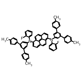 Cc1ccc(-c2cc(-c3ccc(C)cc3)cc(N(c3ccccc3F)c3ccc4ccc5c(N(c6cc(-c7ccc(C)cc7)cc(-c7ccc(C)cc7)c6)c6ccccc6F)ccc6ccc3c4c65)c2)cc1